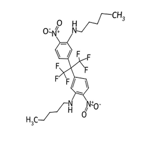 CCCCCNc1cc(C(c2ccc([N+](=O)[O-])c(NCCCCC)c2)(C(F)(F)F)C(F)(F)F)ccc1[N+](=O)[O-]